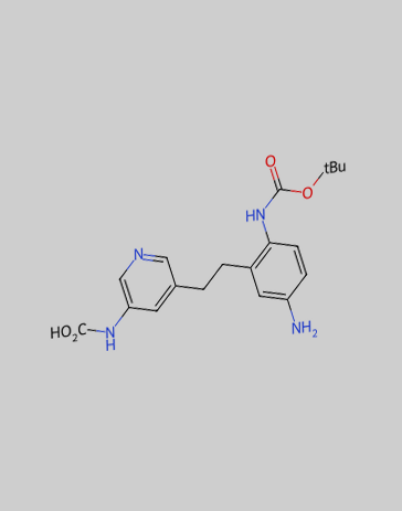 CC(C)(C)OC(=O)Nc1ccc(N)cc1CCc1cncc(NC(=O)O)c1